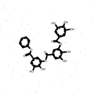 O=C(Oc1ccccc1)c1cc(O)c(O)c(OC(=O)c2cc(O)c(O)c(OC(=O)c3cc(O)c(O)c(O)c3)c2)c1